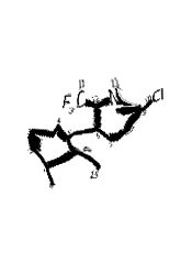 Cc1cccc(-c2ccc(Cl)nc2C(F)(F)F)c1C